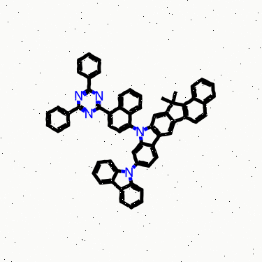 CC1(C)c2cc3c(cc2-c2ccc4ccccc4c21)c1ccc(-n2c4ccccc4c4ccccc42)cc1n3-c1ccc(-c2nc(-c3ccccc3)nc(-c3ccccc3)n2)c2ccccc12